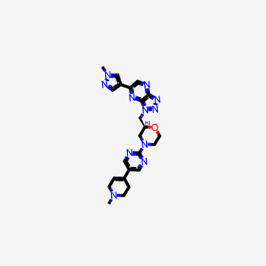 CN1CC=C(c2cnc(N3CCO[C@H](Cn4nnc5ncc(-c6cnn(C)c6)nc54)C3)nc2)CC1